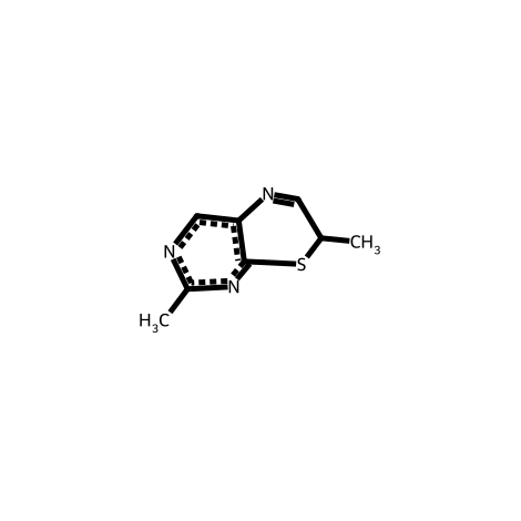 Cc1ncc2c(n1)SC(C)C=N2